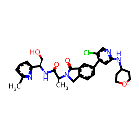 Cc1cccc([C@@H](CO)NC(=O)[C@@H](C)N2Cc3ccc(-c4cc(NC5CCOCC5)ncc4Cl)cc3C2=O)n1